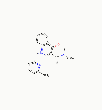 Bc1cccc(Cn2cc(C(=C)N(C)OC)c(=O)c3ccccc32)n1